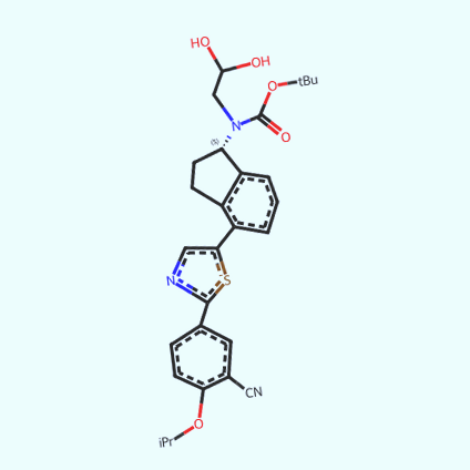 CC(C)Oc1ccc(-c2ncc(-c3cccc4c3CC[C@@H]4N(CC(O)O)C(=O)OC(C)(C)C)s2)cc1C#N